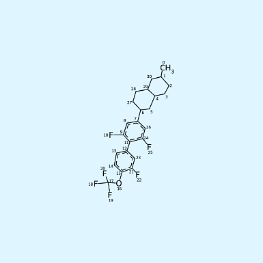 CC1CCC2CC(c3cc(F)c(-c4ccc(OC(F)(F)F)c(F)c4)c(F)c3)CCC2C1